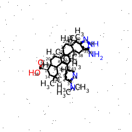 CN(C)c1ccc(C2=C3[C@H]4CC(C)(C)C[C@@H](C(=O)O)[C@H]4CC[C@@]3(C)[C@]3(C)CC[C@H]4C(C)(C)c5n[nH]c(N)c5C[C@]4(C)C3C2)cn1